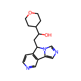 OC(CC1c2ccncc2-c2cncn21)C1CCOCC1